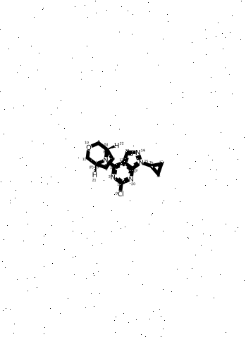 Clc1nc(N2[C@@H]3CC[C@H]2COC3)c2cnn(C3CC3)c2n1